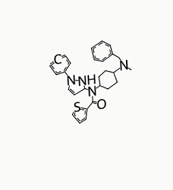 CN(Cc1ccccc1)C1CCC(N(C(=O)c2cccs2)C2C=CN(c3ccccc3)N2)CC1